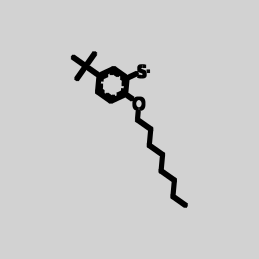 CCCCCCCCOc1ccc(C(C)(C)C)cc1[S]